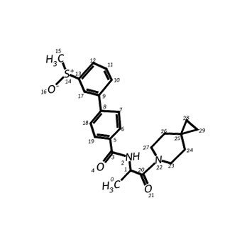 CC(NC(=O)c1ccc(-c2cccc([S+](C)[O-])c2)cc1)C(=O)N1CCC2(CC1)CC2